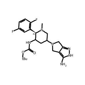 CN1CC(N2Cc3n[nH]c(N)c3C2)CC(NC(=O)OC(C)(C)C)[C@H]1c1cc(F)ccc1F